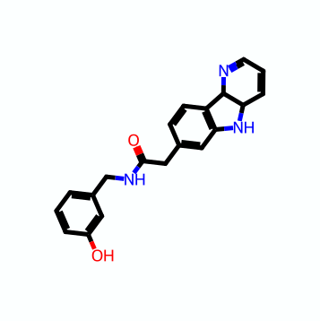 O=C(Cc1ccc2c(c1)NC1C=CC=NC21)NCc1cccc(O)c1